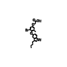 CCCCc1c[nH]c2ccc(Oc3c(C)cc(OCC(=O)O)cc3Br)cc12